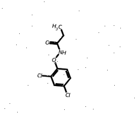 CCC(=O)NOc1ccc(Cl)cc1Cl